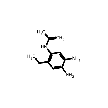 C=C(C)Nc1cc(N)c(N)cc1CC